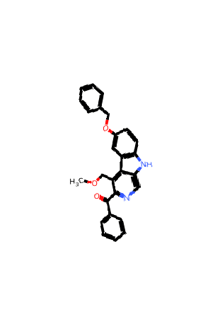 COCc1c(C(=O)c2ccccc2)ncc2[nH]c3ccc(OCc4ccccc4)cc3c12